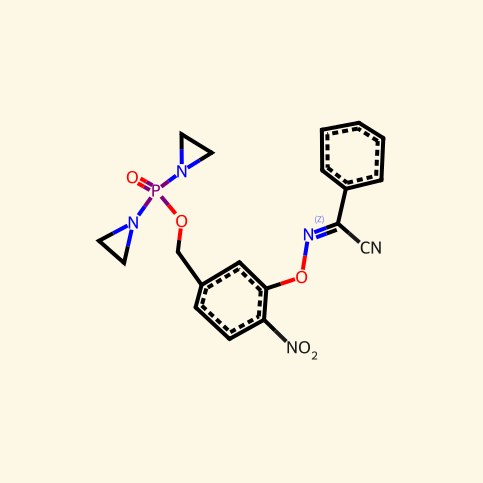 N#C/C(=N\Oc1cc(COP(=O)(N2CC2)N2CC2)ccc1[N+](=O)[O-])c1ccccc1